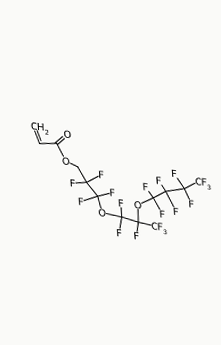 C=CC(=O)OCC(F)(F)C(F)(F)OC(F)(F)C(F)(OC(F)(F)C(F)(F)C(F)(F)C(F)(F)F)C(F)(F)F